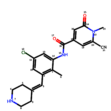 Cc1c(C=C2CCNCC2)cc(Cl)cc1NC(=O)c1cc(C#N)n(C)c(=O)c1